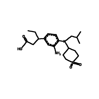 CCC(CC(=O)O)c1ccc(N(CC(C)C)C2CCS(=O)(=O)CC2)c(N)c1